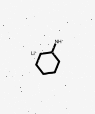 [Li+].[NH-]C1CCCCC1